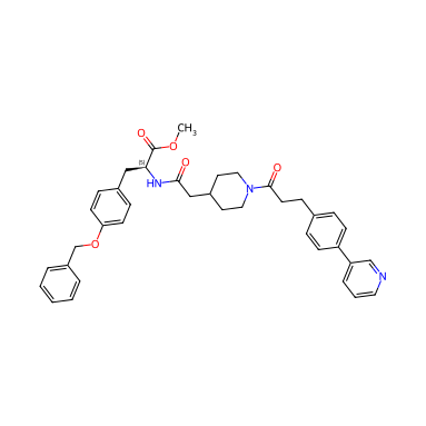 COC(=O)[C@H](Cc1ccc(OCc2ccccc2)cc1)NC(=O)CC1CCN(C(=O)CCc2ccc(-c3cccnc3)cc2)CC1